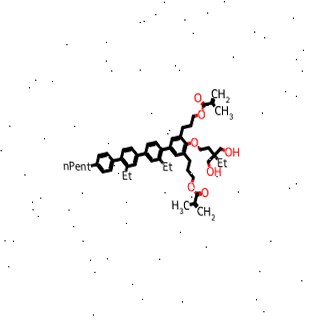 C=C(C)C(=O)OCCCc1cc(-c2ccc(-c3ccc(-c4ccc(CCCCC)cc4)c(CC)c3)cc2CC)cc(CCCOC(=O)C(=C)C)c1OCCC(CC)(CO)CO